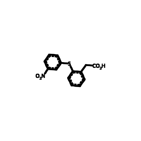 O=C(O)Cc1ccccc1Sc1cccc([N+](=O)[O-])c1